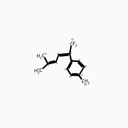 CC(C)=C/C=C(\c1ccc(C)cc1)C(F)(F)F